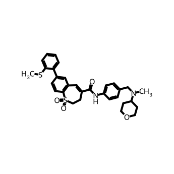 CSc1ccccc1-c1ccc2c(c1)C=C(C(=O)Nc1ccc(CN(C)C3CCOCC3)cc1)CCS2(=O)=O